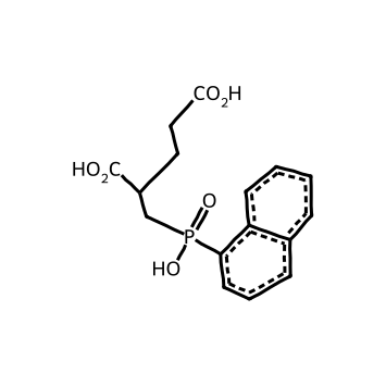 O=C(O)CCC(CP(=O)(O)c1cccc2ccccc12)C(=O)O